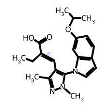 CC/C(=C\c1c(C)nn(C)c1-n1ccc2ccc(OC(C)C)cc21)C(=O)O